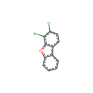 Clc1ccc2c(oc3ccccc32)c1Br